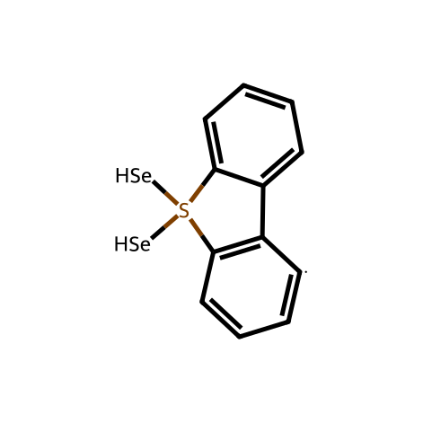 [SeH]S1([SeH])c2ccc[c]c2-c2ccccc21